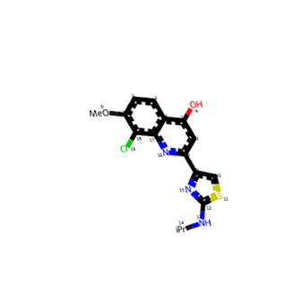 COc1ccc2c(O)cc(-c3csc(NC(C)C)n3)nc2c1Cl